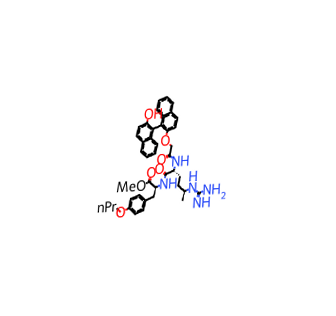 CCCOc1ccc(C[C@H](NC(=O)[C@@H](CC[C@H](C)NC(=N)N)NC(=O)COc2ccc3ccccc3c2-c2c(O)ccc3ccccc23)C(=O)OC)cc1